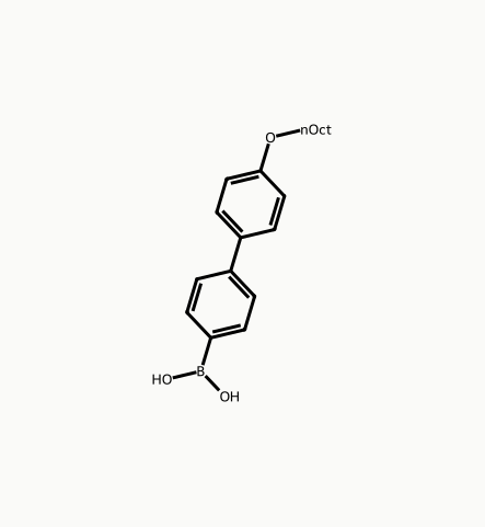 CCCCCCCCOc1ccc(-c2ccc(B(O)O)cc2)cc1